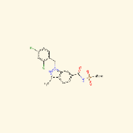 CCCCCS(=O)(=O)NC(=O)c1ccc2c(C)nn(Cc3ccc(Cl)cc3Cl)c2c1